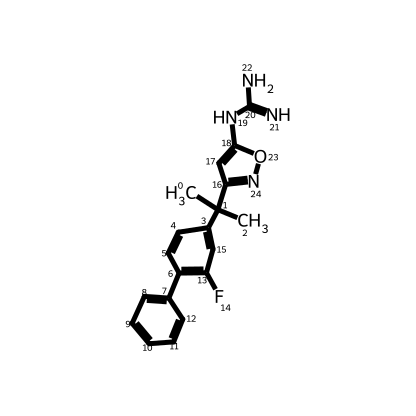 CC(C)(c1ccc(-c2ccccc2)c(F)c1)c1cc(NC(=N)N)on1